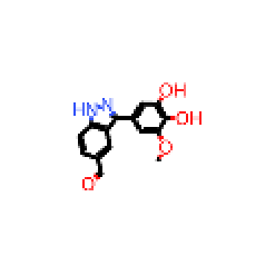 COc1cc(-c2n[nH]c3ccc(C=O)cc23)cc(O)c1O